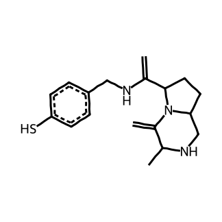 C=C(NCc1ccc(S)cc1)C1CCC2CNC(C)C(=C)N21